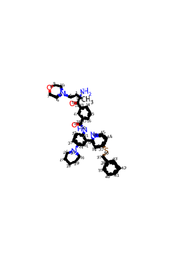 CC(N)(CCN1CCOCC1)C(=O)c1cccc(C(=O)Nc2ccc(N3CCCCC3)cc2-c2cc(SCc3ccccc3)ccn2)c1